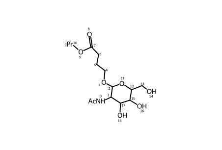 CC(=O)NC1C(OCCCC(=O)OC(C)C)OC(CO)C(O)C1O